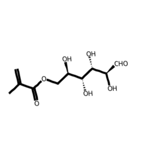 C=C(C)C(=O)OC[C@@H](O)[C@@H](O)[C@H](O)[C@H](O)C=O